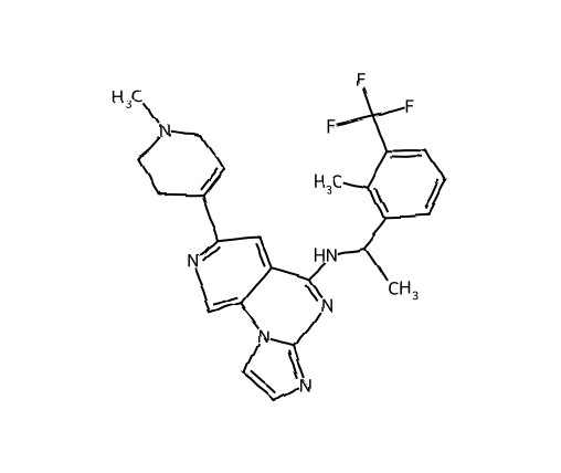 Cc1c(C(C)Nc2nc3nccn3c3cnc(C4=CCN(C)CC4)cc23)cccc1C(F)(F)F